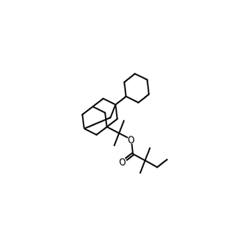 CCC(C)(C)C(=O)OC(C)(C)C12CC3CC(CC(C4CCCCC4)(C3)C1)C2